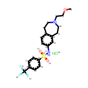 COCCN1CCc2ccc(NS(=O)(=O)c3ccc(C(F)(F)F)cc3)cc2CC1.Cl